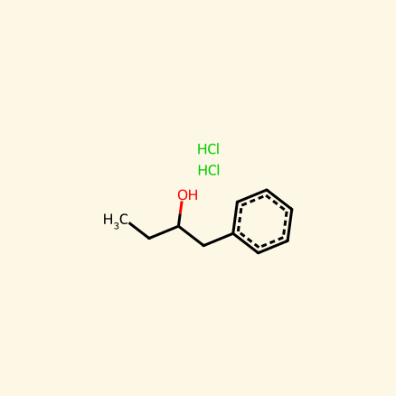 CCC(O)Cc1ccccc1.Cl.Cl